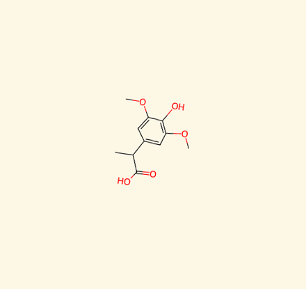 COc1cc(C(C)C(=O)O)cc(OC)c1O